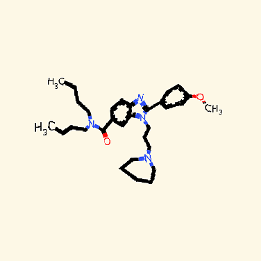 CCCCN(CCCC)C(=O)c1ccc2nc(-c3ccc(OC)cc3)n(CCCN3CCCCC3)c2c1